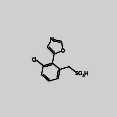 O=S(=O)(O)Cc1cccc(Cl)c1-c1cnco1